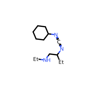 CCNCC(CC)N=C=NC1CCCCC1